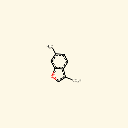 Cc1ccc2c(C(=O)O)coc2c1